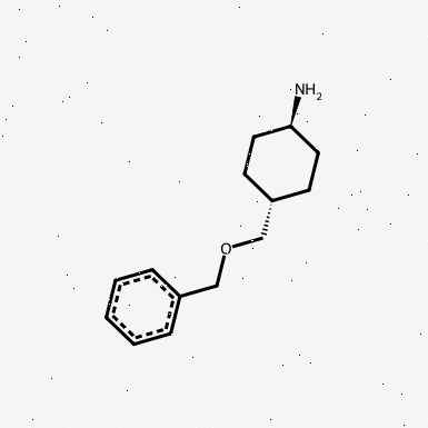 N[C@H]1CC[C@H](COCc2ccccc2)CC1